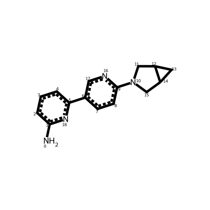 Nc1cccc(-c2ccc(N3CC4CC4C3)nc2)n1